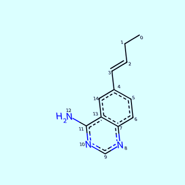 CC/C=C/c1ccc2ncnc(N)c2c1